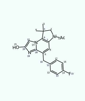 CC(=O)N1CC(C)(C)c2c1cc(Cc1ccc(F)cc1)c1nc(O)cn21